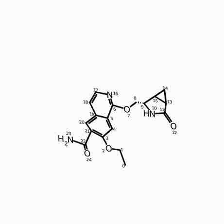 CCOc1cc2c(OC[C@H]3NC(=O)C4CC43)nccc2cc1C(N)=O